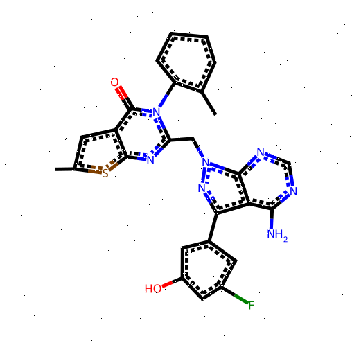 Cc1cc2c(=O)n(-c3ccccc3C)c(Cn3nc(-c4cc(O)cc(F)c4)c4c(N)ncnc43)nc2s1